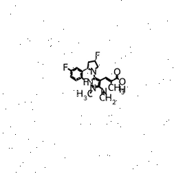 C=Nc1c(/C=C(\C)C(=O)O)c(N2C[C@@H](F)C[C@@H]2c2cc(F)ccc2F)nn1C